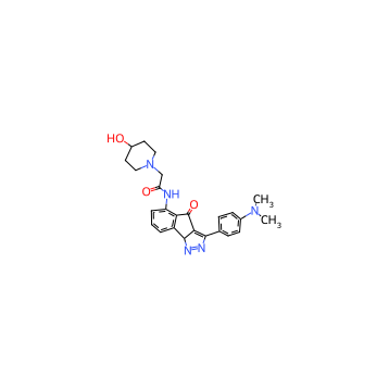 CN(C)c1ccc(C2=C3C(=O)c4c(NC(=O)CN5CCC(O)CC5)cccc4C3N=N2)cc1